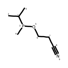 CC(C)P(C)OCCC#N